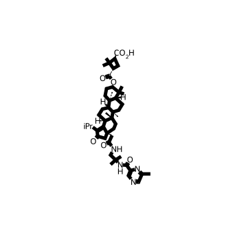 Cc1cncc(C(=O)NC(C)(C)CNC(=O)C[C@@]23CC[C@]4(C)[C@H](CC[C@@H]5[C@@]6(C)CC[C@H](OC(=O)[C@H]7C[C@@H](C(=O)O)C7(C)C)C(C)(C)[C@@H]6CC[C@]54C)C2=C(C(C)C)C(=O)C3)n1